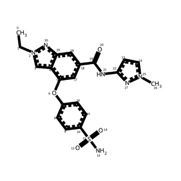 CCn1cc2c(Oc3ccc(S(N)(=O)=O)cc3)cc(C(=O)Nc3ccn(C)n3)cc2n1